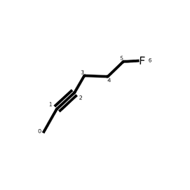 CC#CCCCF